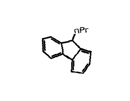 C[CH]CC1c2ccccc2-c2ccccc21